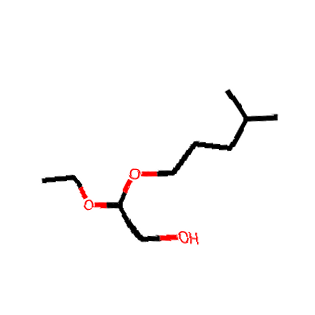 CCOC(CO)OCCCC(C)C